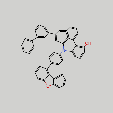 Oc1cccc(N(c2ccc(-c3cccc4oc5ccccc5c34)cc2)c2cccc(-c3cccc(-c4ccccc4)c3)c2)c1-c1ccccc1